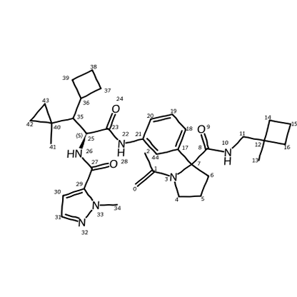 C=C(C)N1CCCC1(C(=O)NCC1(C)CCC1)c1cccc(NC(=O)[C@@H](NC(=O)c2ccnn2C)C(C2CCC2)C2(C)CC2)c1